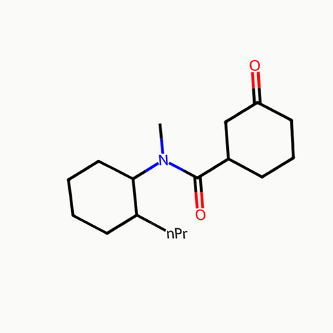 CCCC1CCCCC1N(C)C(=O)C1CCCC(=O)C1